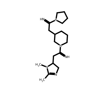 CC1=NCC(CC(=N)N2CCCC(CC(=N)N3CCCC3)C2)N1C